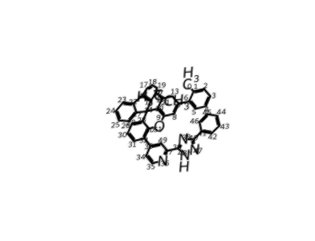 Cc1ccccc1C1=CC2=C(C(C)C1)C1(C3=C(C=CCC3C)c3ccccc31)c1cccc(-c3ccnc(-c4nc(-c5ccccc5)n[nH]4)c3)c1O2